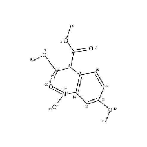 COC(=O)C(C(=O)OC)c1ccc(OC)cc1[N+](=O)[O-]